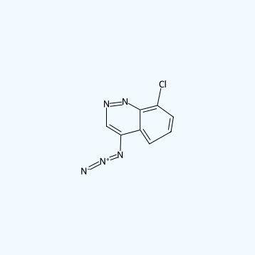 [N-]=[N+]=Nc1cnnc2c(Cl)cccc12